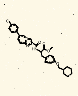 COC(=O)C(Cc1ccc(OCC2CCCCC2)cc1)NC(=O)c1cn2cc(-c3ccc(Cl)cc3)ccc2n1